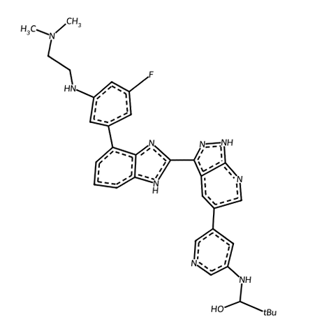 CN(C)CCNc1cc(F)cc(-c2cccc3[nH]c(-c4n[nH]c5ncc(-c6cncc(NC(O)C(C)(C)C)c6)cc45)nc23)c1